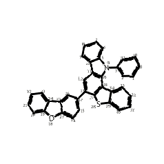 c1ccc(-n2c3ccccc3c3cc(-c4ccc5oc6ccccc6c5c4)c4sc5ccccc5c4c32)cc1